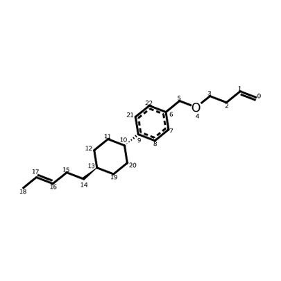 C=CCCOCc1ccc([C@H]2CC[C@H](CCC=CC)CC2)cc1